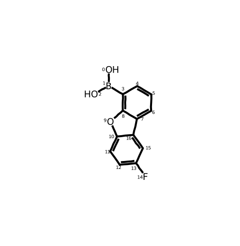 OB(O)c1cccc2c1oc1ccc(F)cc12